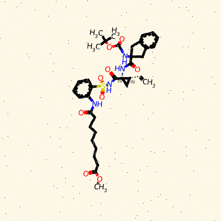 C=C[C@@H]1C[C@@]1(NC(=O)C1(NC(=O)OC(C)(C)C)Cc2ccccc2C1)C(=O)NS(=O)(=O)c1ccccc1NC(=O)CCCCCCCC(=O)OC